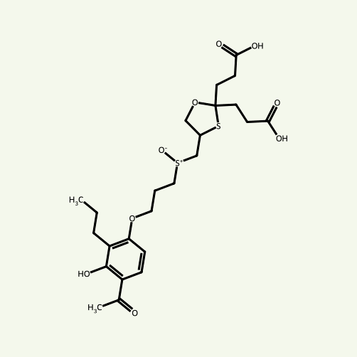 CCCc1c(OCCC[S+]([O-])CC2COC(CCC(=O)O)(CCC(=O)O)S2)ccc(C(C)=O)c1O